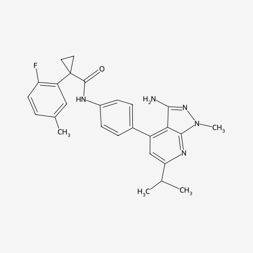 Cc1ccc(F)c(C2(C(=O)Nc3ccc(-c4cc(C(C)C)nc5c4c(N)nn5C)cc3)CC2)c1